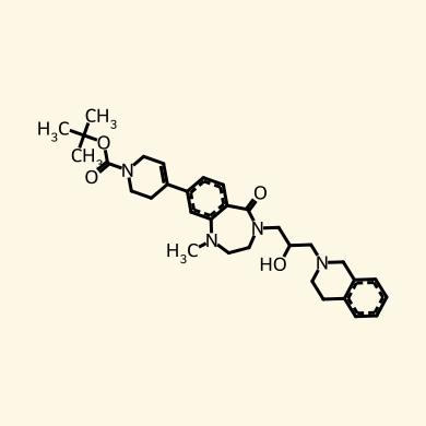 CN1CCN(CC(O)CN2CCc3ccccc3C2)C(=O)c2ccc(C3=CCN(C(=O)OC(C)(C)C)CC3)cc21